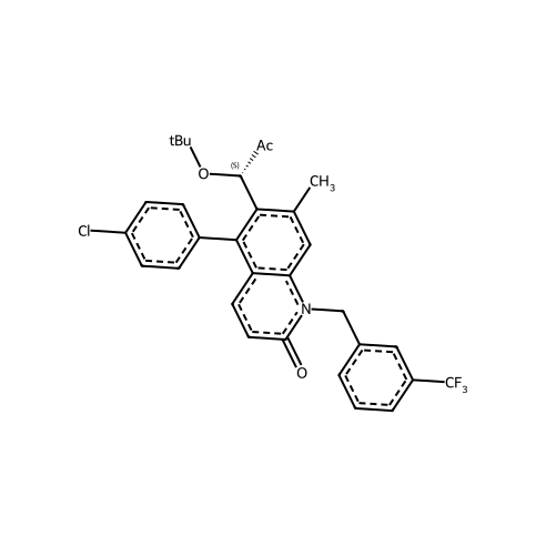 CC(=O)[C@@H](OC(C)(C)C)c1c(C)cc2c(ccc(=O)n2Cc2cccc(C(F)(F)F)c2)c1-c1ccc(Cl)cc1